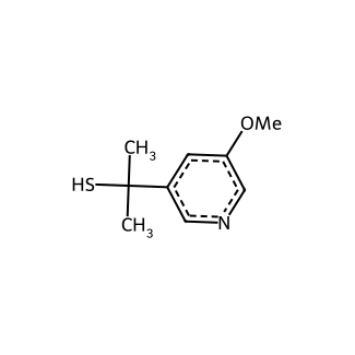 COc1cncc(C(C)(C)S)c1